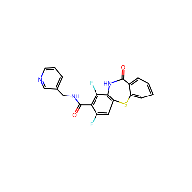 O=C1Nc2c(cc(F)c(C(=O)NCc3cccnc3)c2F)Sc2ccccc21